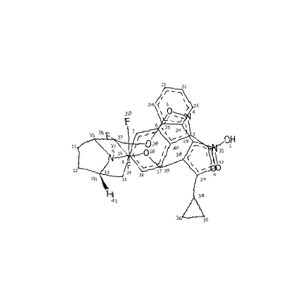 O=C(O)c1noc2cc(N3C4CC[C@H]3CC(OCc3c(-c5ccccc5OC(F)(F)F)noc3C3CC3)C4)ccc12